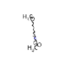 COCCCCCCS/C=C/COC(C)=O